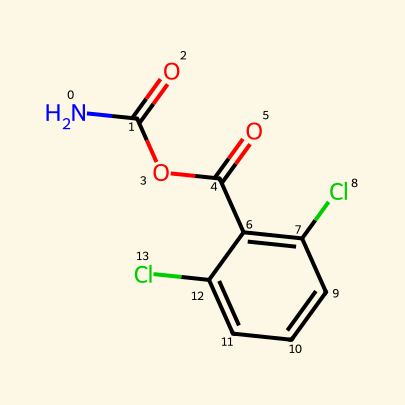 NC(=O)OC(=O)c1c(Cl)cccc1Cl